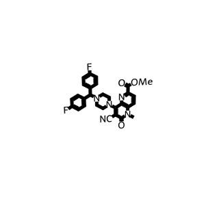 COC(=O)c1ccc2c(n1)c(N1CCN(C(c3ccc(F)cc3)c3ccc(F)cc3)CC1)c(C#N)c(=O)n2C